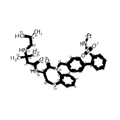 CCNS(=O)(=O)c1ccccc1-c1ccc(CN2C(=O)[C@H](NC(=O)CC(C)(C)NC[C@@H](C)O)CSc3ccccc32)cc1